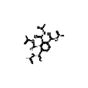 C=C(C)OC(=O)c1ccc(C(=O)OC(=C)C)c(C(=O)OC(=C)C)c1C(=O)OC(=C)C